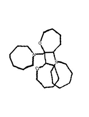 C1CCOC(C2(N3CCCCCC3)OCCCCC2N2CCCCCC2)CC1